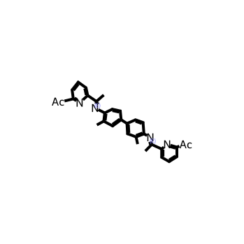 CC(=O)c1cccc(/C(C)=N/c2ccc(-c3ccc(/N=C(\C)c4cccc(C(C)=O)n4)c(C)c3)cc2C)n1